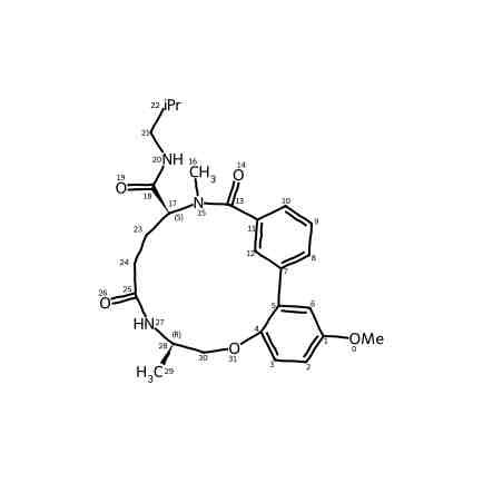 COc1ccc2c(c1)-c1cccc(c1)C(=O)N(C)[C@H](C(=O)NCC(C)C)CCC(=O)N[C@H](C)CO2